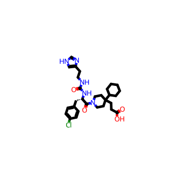 O=C(O)CCC1(C2CCCCC2)CCN(C(=O)[C@H](Cc2ccc(Cl)cc2)NC(=O)NCCc2c[nH]cn2)CC1